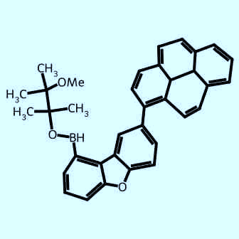 COC(C)(C)C(C)(C)OBc1cccc2oc3ccc(C4=C5C=CC6=CC=CC7=CC=C(C=C4)C5C67)cc3c12